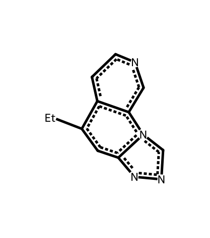 CCc1cc2nncn2c2cnccc12